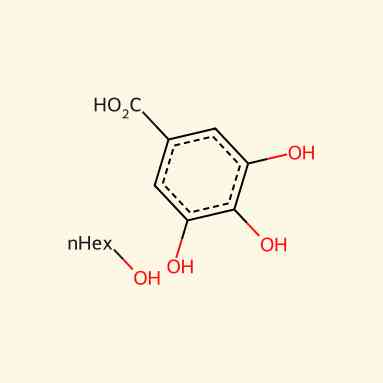 CCCCCCO.O=C(O)c1cc(O)c(O)c(O)c1